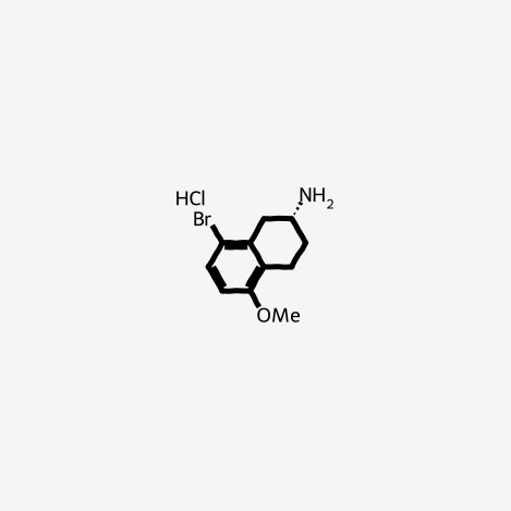 COc1ccc(Br)c2c1CC[C@@H](N)C2.Cl